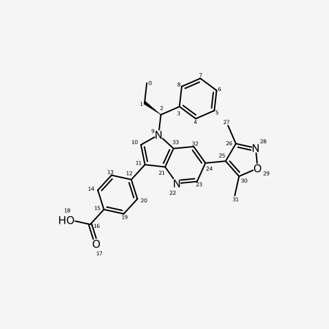 CC[C@@H](c1ccccc1)n1cc(-c2ccc(C(=O)O)cc2)c2ncc(-c3c(C)noc3C)cc21